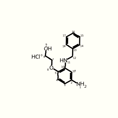 Cl.Nc1ccc(OCCO)c(NCc2ccccc2)c1